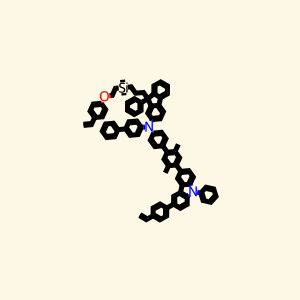 C=Cc1ccc(OCC[Si](C)(C)CCCC2(c3ccccc3)c3ccccc3-c3ccc(N(c4ccc(-c5ccccc5)cc4)c4ccc(-c5cc(C)c(-c6ccc7c(c6)c6cc(-c8ccc(C=C)cc8)ccc6n7-c6ccccc6)cc5C)cc4)cc32)cc1